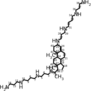 C[C@H](NCCCNCCCCNCCCN)[C@H]1CCC2C3CCC4=C[C@@H](NCCCNCCCCNCCCN)CC[C@]4(C)C3CC[C@@]21C